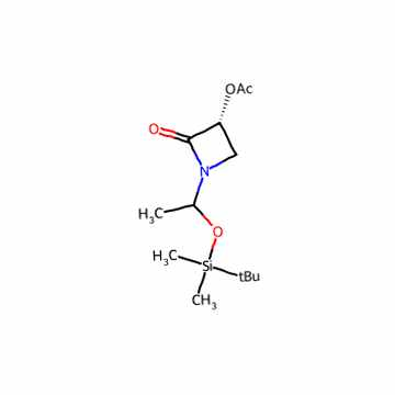 CC(=O)O[C@@H]1CN(C(C)O[Si](C)(C)C(C)(C)C)C1=O